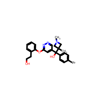 CC(C)c1ccc(C(O)(c2cnnc(Oc3ccccc3CCO)c2)C2(C)CN(C)C2)cc1